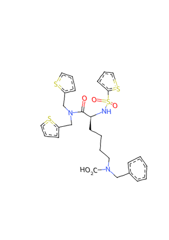 O=C(O)N(CCCC[C@H](NS(=O)(=O)c1cccs1)C(=O)N(Cc1cccs1)Cc1cccs1)Cc1ccccc1